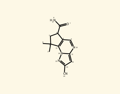 CC1(C)CC(C(N)=O)c2cnc3cc(C#N)nn3c21